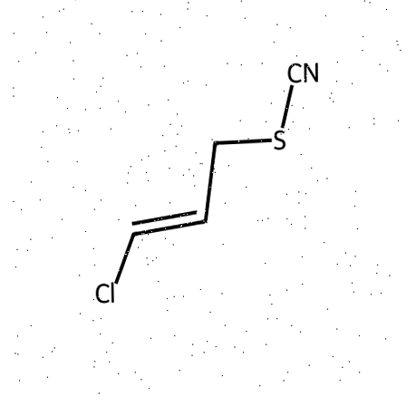 N#CSCC=CCl